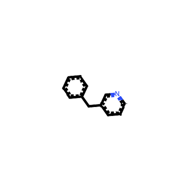 [c]1ccc(Cc2ccccc2)cn1